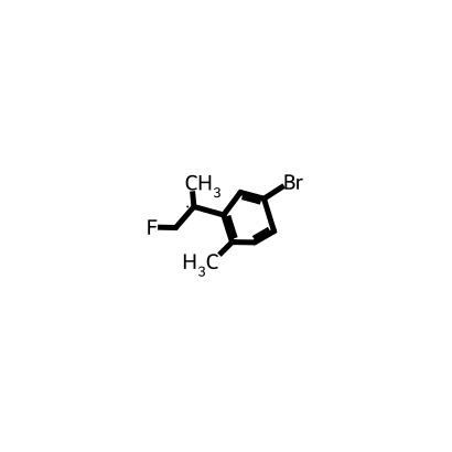 C[C](CF)c1cc(Br)ccc1C